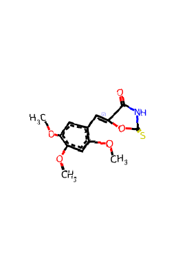 COc1cc(OC)c(OC)cc1/C=C1\OC(=S)NC1=O